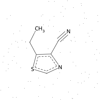 CCc1scnc1C#N